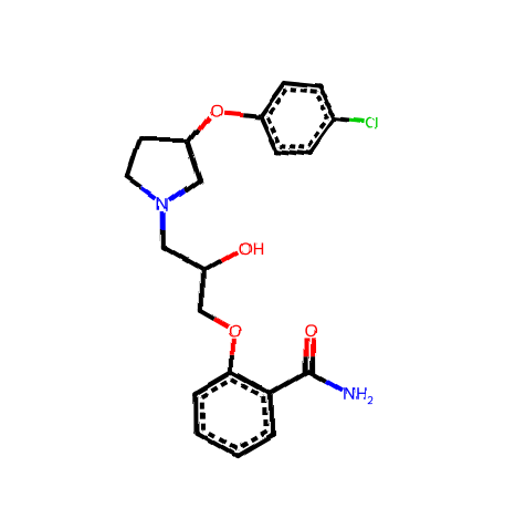 NC(=O)c1ccccc1OCC(O)CN1CCC(Oc2ccc(Cl)cc2)C1